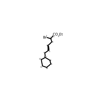 CCOC(=O)C(Br)C/C=C/CC1CCCCC1